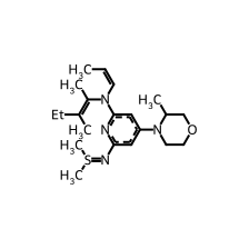 C/C=C\N(/C(C)=C(\C)CC)c1cc(N2CCOCC2C)cc(N=S(C)C)n1